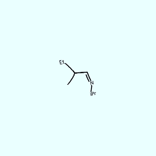 CCC(C)/C=N\C(C)C